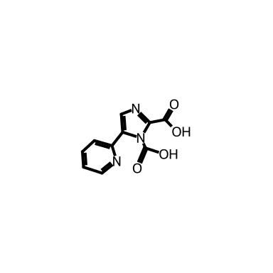 O=C(O)c1ncc(-c2ccccn2)n1C(=O)O